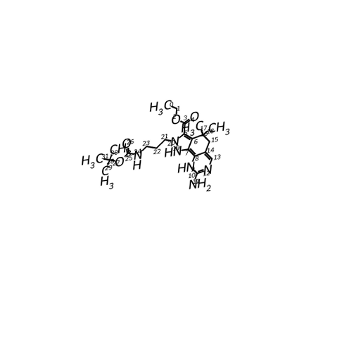 CCOC(=O)C1=C2C(=C3NC(N)=NC=C3CC2(C)C)NN1CCCNC(=O)OC(C)(C)C